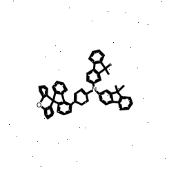 CC1(C)c2ccccc2-c2ccc(N(C3=CC=C(c4cccc5c4-c4ccccc4C54c5ccccc5Oc5ccccc54)CC3)c3ccc4c(c3)C(C)(C)c3ccccc3-4)cc21